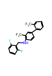 Fc1cccc(F)c1CNc1ccc(-c2ccccc2C(F)(F)F)cc1C(F)(F)F